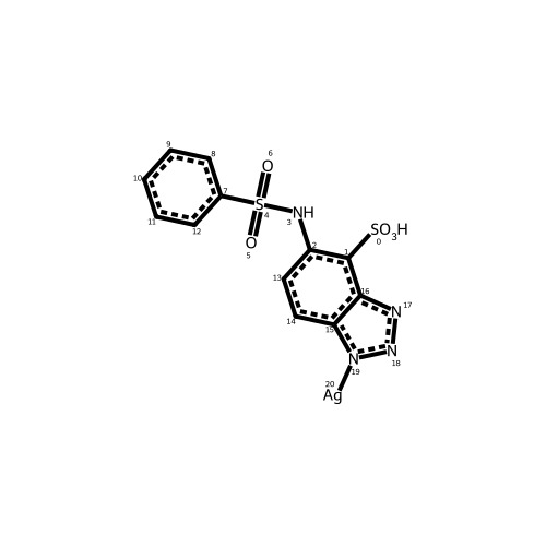 O=S(=O)(O)c1c(NS(=O)(=O)c2ccccc2)ccc2c1nn[n]2[Ag]